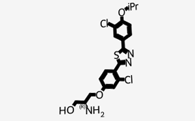 CC(C)Oc1ccc(-c2nnc(-c3ccc(OC[C@H](N)CO)cc3Cl)s2)cc1Cl